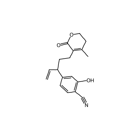 C=CC(CCC1=C(C)CCOC1=O)c1ccc(C#N)c(O)c1